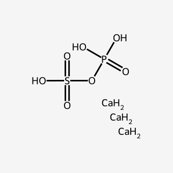 O=P(O)(O)OS(=O)(=O)O.[CaH2].[CaH2].[CaH2]